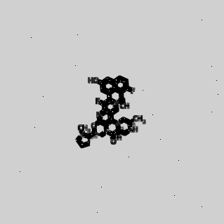 C#Cc1c(F)ccc2cc(O)cc(-c3ncc4c5c6c(nc4c3F)O[C@@H]([C@@H]3CCCN3C)CN6C(=O)[C@H]3CN[C@H](C)CN53)c12